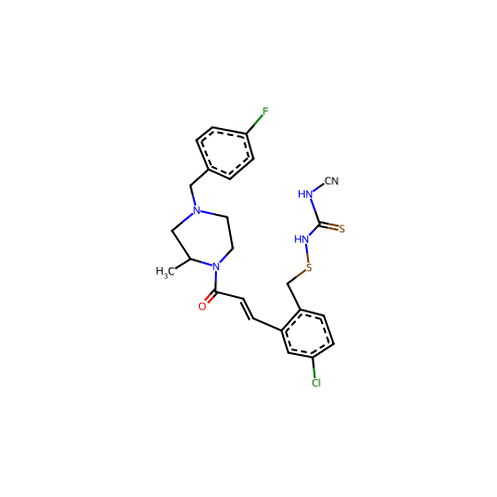 CC1CN(Cc2ccc(F)cc2)CCN1C(=O)C=Cc1cc(Cl)ccc1CSNC(=S)NC#N